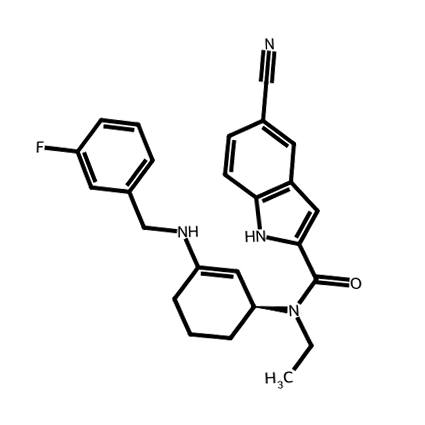 CCN(C(=O)c1cc2cc(C#N)ccc2[nH]1)[C@@H]1C=C(NCc2cccc(F)c2)CCC1